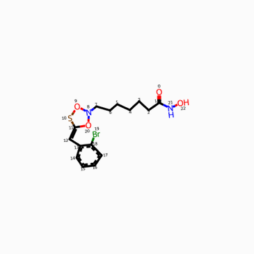 O=C(CCCCCCN1OSC(=Cc2ccccc2Br)O1)NO